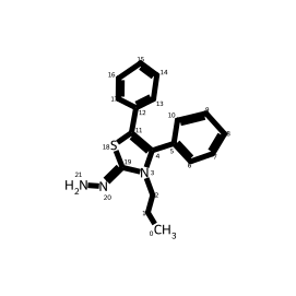 CCCn1c(-c2ccccc2)c(-c2ccccc2)sc1=NN